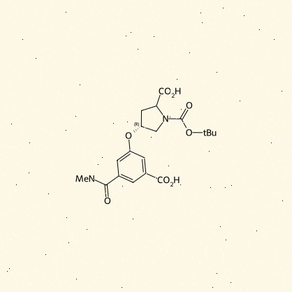 CNC(=O)c1cc(O[C@@H]2CC(C(=O)O)N(C(=O)OC(C)(C)C)C2)cc(C(=O)O)c1